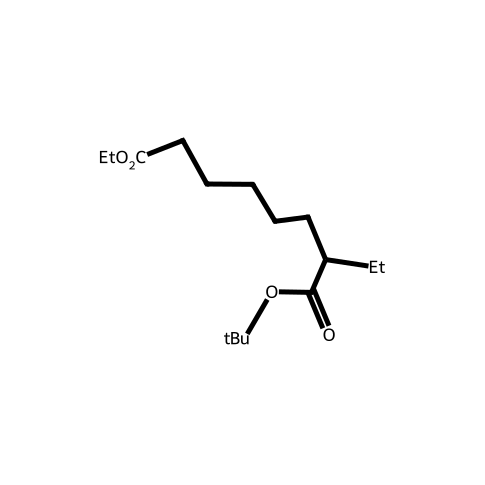 CCOC(=O)CCCCCC(CC)C(=O)OC(C)(C)C